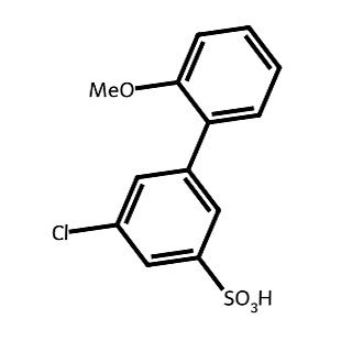 COc1ccccc1-c1cc(Cl)cc(S(=O)(=O)O)c1